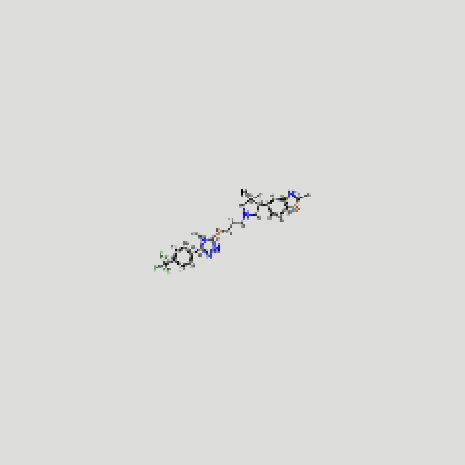 Cc1nc2cc(C34C[C@@H]3CN(CCCSc3nnc(-c5ccc(C(F)(F)F)cc5)n3C)C4)ccc2s1